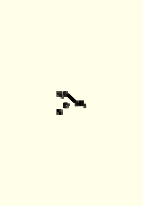 [Cr].[Ni].[SiH3][SiH3]